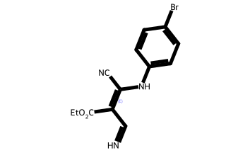 CCOC(=O)/C(C=N)=C(\C#N)Nc1ccc(Br)cc1